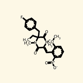 CCC1(Cc2ccc(F)cc2)C(=O)N(C)C(=Cc2c(OC)cccc2[N+](=O)[O-])C(=O)N1C